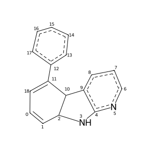 C1=CC2Nc3ncccc3C2C(c2ccccc2)=C1